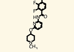 CN1CCC(Oc2cccc(NC(=O)c3ccc(F)c(F)c3F)n2)CC1